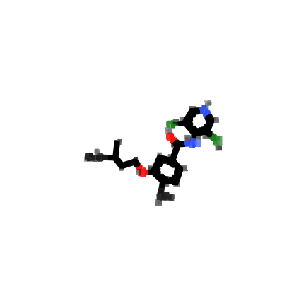 COC(C)CCOc1cc(C(=O)Nc2c(Cl)cncc2Cl)ccc1SC